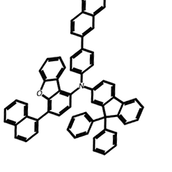 c1ccc(C2(c3ccccc3)c3ccccc3-c3ccc(N(c4ccc(-c5ccc6ccccc6c5)cc4)c4ccc(-c5cccc6ccccc56)c5oc6ccccc6c45)cc32)cc1